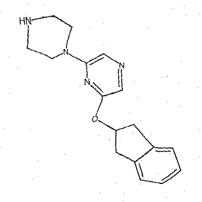 c1ccc2c(c1)CC(Oc1cncc(N3CCNCC3)n1)C2